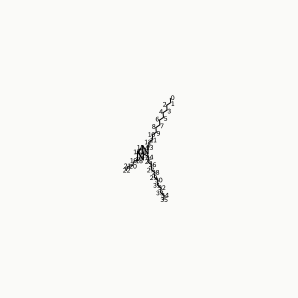 CCCCCCCCCCCCCCN1C=CN(CCCCC)C1CCCCCCCCCCCC